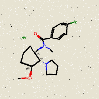 Br.CO[C@H]1CCC[C@@H](N(C)C(=O)c2ccc(Br)cc2)[C@@H]1N1CCCC1